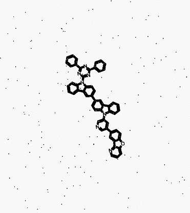 c1ccc(-c2nc(-c3ccccc3)nc(-n3c4ccccc4c4cc(-c5ccc6c(c5)c5ccccc5n6-c5cncc(-c6ccc7oc8cccnc8c7c6)c5)ccc43)n2)cc1